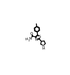 Cc1ccc(-c2sc(C3CCNC3)nc2C(N)=O)cc1